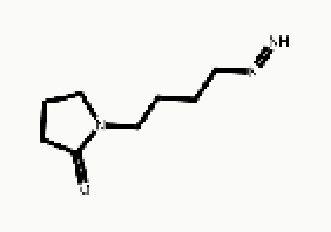 N=NCCCCN1CCCC1=O